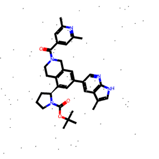 Cc1cc(C(=O)N2CCc3c(cc(-c4cnc5[nH]cc(C)c5c4)cc3[C@@H]3CCCN3C(=O)OC(C)(C)C)C2)cc(C)n1